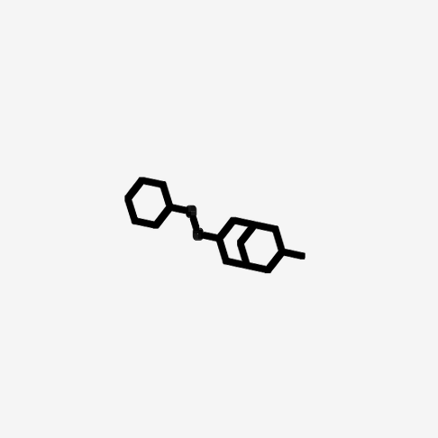 CC1CC2CC(C1)CC(OOC1CCCCC1)C2